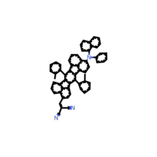 Cc1ccccc1-c1c2c3cccc4c(C=C(C#N)C#N)ccc(c2c(-c2ccccc2C)c2c5ccc(N(c6ccccc6)c6cccc7ccccc67)c6cccc(c12)c65)c43